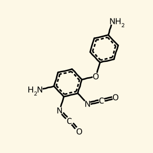 Nc1ccc(Oc2ccc(N)c(N=C=O)c2N=C=O)cc1